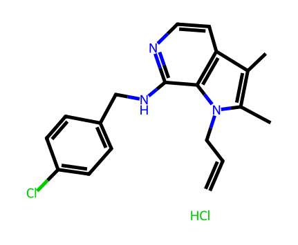 C=CCn1c(C)c(C)c2ccnc(NCc3ccc(Cl)cc3)c21.Cl